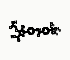 CC(C)(C)c1ccc(C(=O)Nc2ccc(-c3sc(C(=O)O)c(OCC(=O)O)c3Br)cc2)cc1